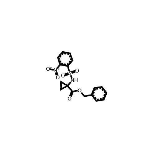 O=C(OCc1ccccc1)C1(NS(=O)(=O)c2ccccc2[N+](=O)[O-])CC1